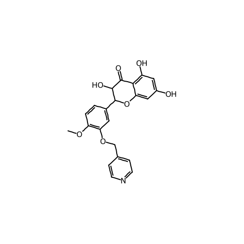 COc1ccc(C2Oc3cc(O)cc(O)c3C(=O)C2O)cc1OCc1ccncc1